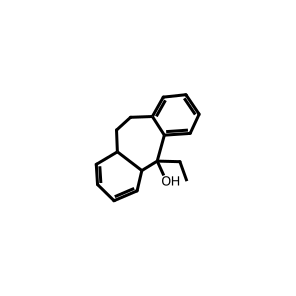 CCC1(O)c2ccccc2CCC2C=CC=CC21